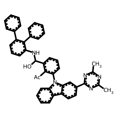 CC(=O)c1c(C(O)Nc2cccc(-c3ccccc3)c2-c2ccccc2)cccc1-n1c2ccccc2c2ccc(-c3nc(C)nc(C)n3)cc21